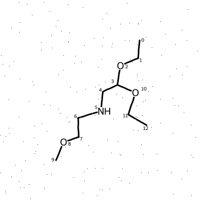 CCOC(CNCCOC)OCC